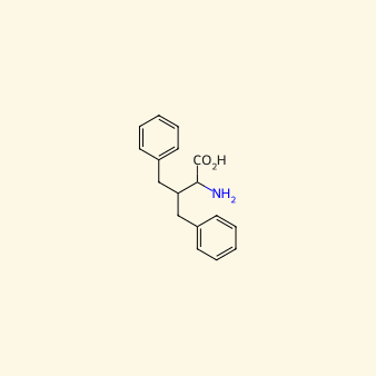 NC(C(=O)O)C(Cc1ccccc1)Cc1ccccc1